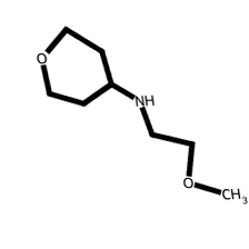 COCCNC1CCOCC1